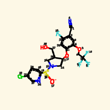 N#Cc1cc(OCC(F)(F)F)c(O[C@H]2CN([S+]([O-])c3ccc(Cl)cn3)CC2CO)cc1F